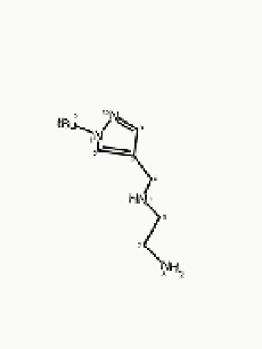 CC(C)(C)n1cc(CNCCN)cn1